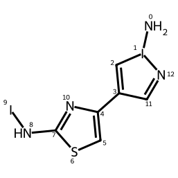 NI1C=C(c2csc(NI)n2)C=N1